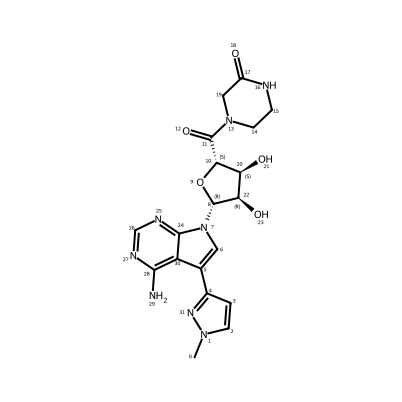 Cn1ccc(-c2cn([C@@H]3O[C@H](C(=O)N4CCNC(=O)C4)[C@@H](O)[C@H]3O)c3ncnc(N)c23)n1